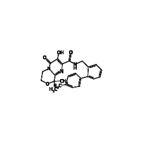 Cc1ccc(-c2ccccc2CNC(=O)c2nc3n(c(=O)c2O)CCOC3(C)C)cc1